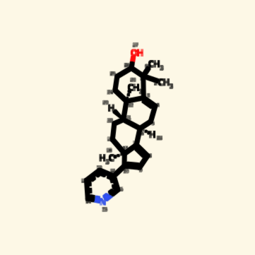 CC1(C)C2=CC[C@H]3C4=CC=C(c5cccnc5)[C@@]4(C)CC[C@@H]3[C@@]2(C)CCC1O